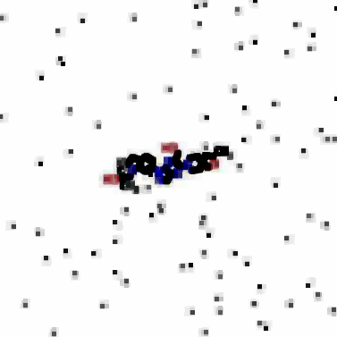 C[C@H]1CC2(CCN(c3nc4cnn(-c5ccc6c(c5)N(CC(C)(C)O)CC6)c4nc3CO)CC2)CO1